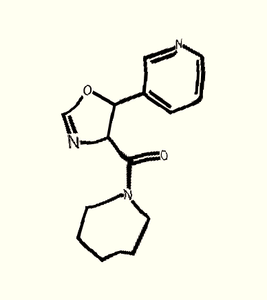 O=C(C1N=COC1c1cccnc1)N1CCCCC1